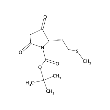 CSCC[C@H]1C(=O)CC(=O)N1C(=O)OC(C)(C)C